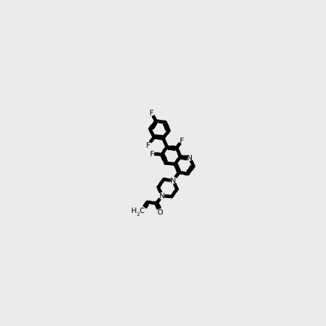 C=CC(=O)N1CCN(c2ccnc3c(F)c(-c4ccc(F)cc4F)c(F)cc23)CC1